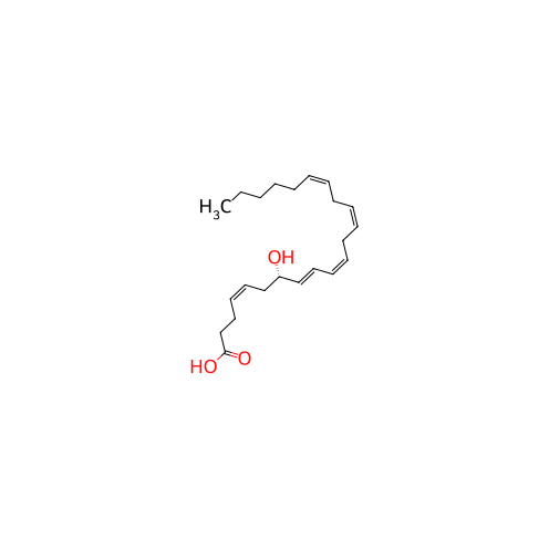 CCCCC/C=C\C/C=C\C/C=C\C=C\[C@@H](O)C/C=C\CCC(=O)O